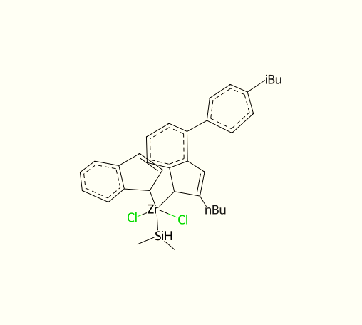 CCCCC1=Cc2c(-c3ccc(C(C)CC)cc3)cccc2[CH]1[Zr]([Cl])([Cl])([CH]1C=Cc2ccccc21)[SiH](C)C